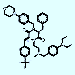 CCN(CC)c1ccc(CN(C)CCN(C)C(=O)[C@H](Cc2ccccc2)N(Cc2ccc(N3CCOCC3)cc2)C(=O)/C=C/c2ccc(C(F)(F)F)cc2)cc1